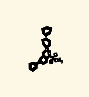 CS(=O)(=O)NC1CCN(c2ccccc2)CC1CO[C@H]1CC[C@@H](c2ccccc2)CC1